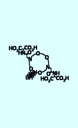 O=C(CN1CCOCCOCCN(CC(=O)NC(C(=O)O)C(=O)O)CCOCCOCC1)NC(C(=O)O)C(=O)O.[LiH].[LiH].[LiH].[LiH]